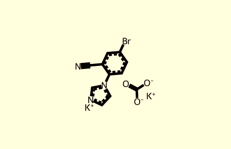 N#Cc1cc(Br)ccc1-n1ccnc1.O=C([O-])[O-].[K+].[K+]